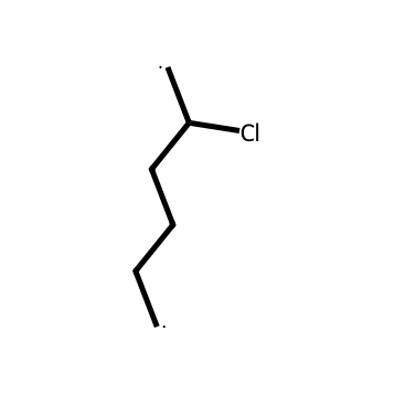 [CH2]CCCC([CH2])Cl